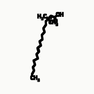 CCCCCCCCC=CCCCCCCCC[N+](C)(C)CC(=O)O